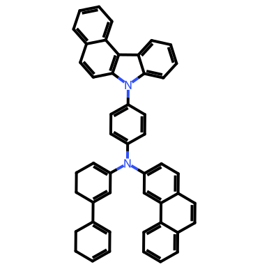 C1=CCCC(C2=CC(N(c3ccc(-n4c5ccccc5c5c6ccccc6ccc54)cc3)c3ccc4ccc5ccccc5c4c3)=CCC2)=C1